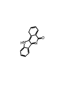 O=C1N=c2c([nH]c3ccccc23)=C2CC=CC=C12